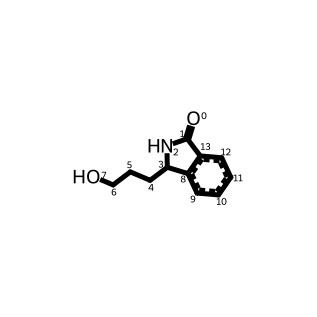 O=C1NC(CCCO)c2ccccc21